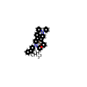 CC1(C)c2ccccc2-c2ccc(N(c3ccccc3)c3ccc4c(c3)C3(c5ccccc5-4)c4cc(N(c5ccccc5)c5ccccc5)ccc4-c4c3sc3ccccc43)cc21